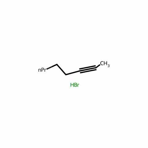 Br.CC#CCCCCC